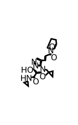 CC1(Cn2c(=O)c(C(=O)NC3CC3)c(O)n3ncc(C=CC(=O)N4CC5CCC(C4)O5)c23)CC1